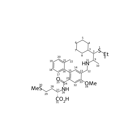 CCSC(C1CCCCC1)C(C)NCc1cc(-c2ccccc2C)c(C(=O)N[C@@H](CCSC)C(=O)O)cc1OC